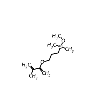 C=C(C)C(=C)OCCC[Si](C)(C)OC